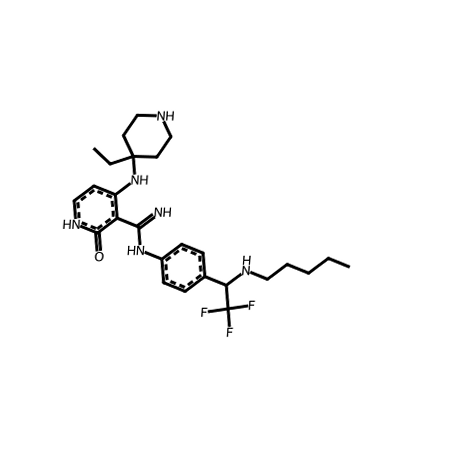 CCCCCNC(c1ccc(NC(=N)c2c(NC3(CC)CCNCC3)cc[nH]c2=O)cc1)C(F)(F)F